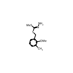 COc1c(C)cccc1CSC(=NN)SC